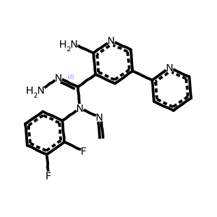 C=NN(/C(=N\N)c1cc(-c2ccccn2)cnc1N)c1cccc(F)c1F